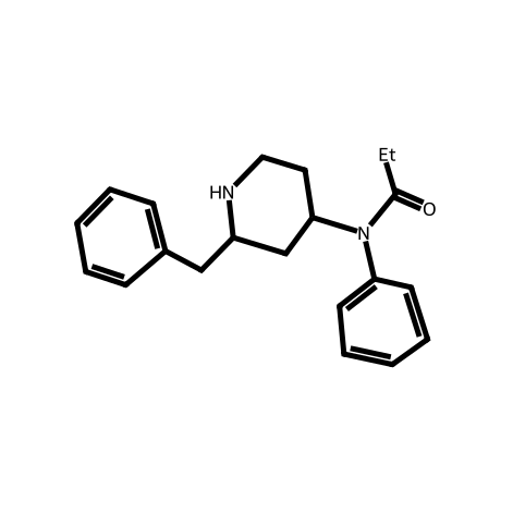 CCC(=O)N(c1ccccc1)C1CCNC(Cc2ccccc2)C1